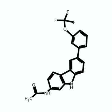 CC(=O)Nc1ccc2c(c1)[nH]c1ccc(-c3cccc(OC(F)(F)F)c3)cc12